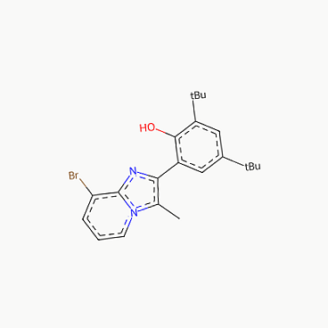 Cc1c(-c2cc(C(C)(C)C)cc(C(C)(C)C)c2O)nc2c(Br)cccn12